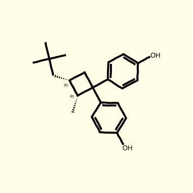 C[C@@H]1[C@H](CC(C)(C)C)CC1(c1ccc(O)cc1)c1ccc(O)cc1